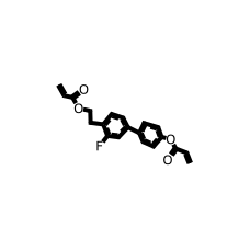 C=CC(=O)OCCc1ccc(-c2ccc(OC(=O)C=C)cc2)cc1F